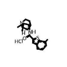 Cc1cccc2cc(C(=O)N[C@@H]3C4CCN(CC4)C3(C)C)sc12.Cl